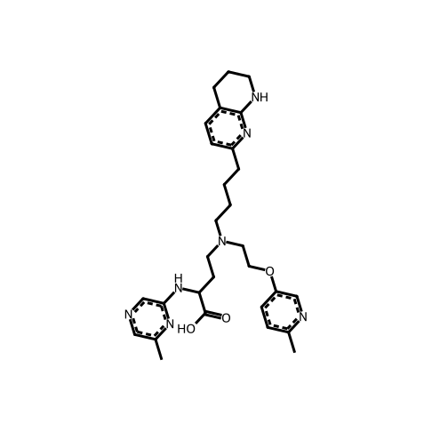 Cc1ccc(OCCN(CCCCc2ccc3c(n2)NCCC3)CCC(Nc2cncc(C)n2)C(=O)O)cn1